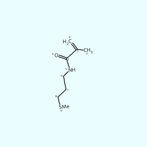 C=C(C)C(=O)NCCCSC